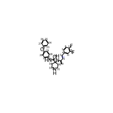 C=C(/C=C/c1ccc(F)c(F)c1)NC1(C(=O)Nc2ccc(Oc3ccccc3)cc2)CCNCC1